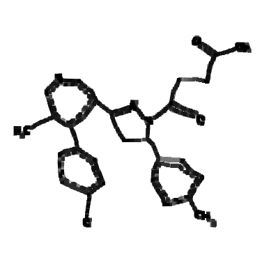 Cc1ccc(C2CC(c3cncc(C)c3-c3ccc(Cl)cc3)=NN2C(=O)CCC(=O)O)cc1